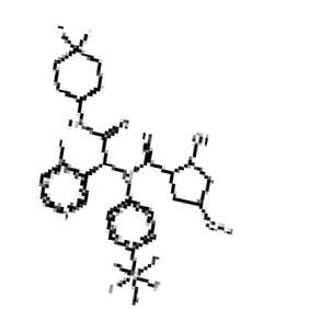 COC1CC(C(=O)N(c2ccc(S(F)(F)(F)(F)F)cc2)C(C(=O)NC2CCC(F)(F)CC2)c2cnccc2C)N(C#N)C1